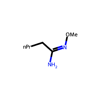 CCCC/C(N)=N\OC